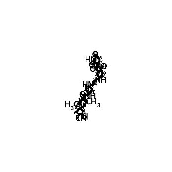 C[C@@H]1CN(c2ccc(C#N)c(Cl)c2)[C@@H](C)CN1C(=O)Nc1ccc(NCCNc2ccc3c(c2)C(=O)N(C2CCC(=O)NC2=O)C3=O)nc1